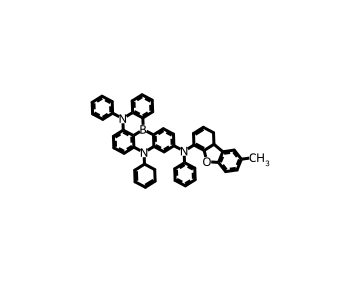 Cc1ccc2c(c1)C1CC=CC(N(c3ccccc3)c3ccc4c(c3)N(C3C=CC=CC3)c3cccc5c3B4c3ccccc3N5c3ccccc3)=C1O2